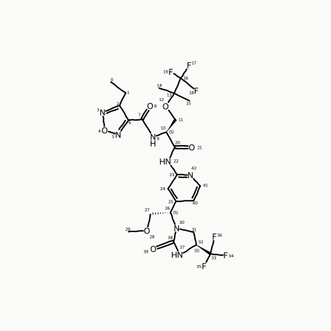 CCc1nonc1C(=O)N[C@@H](COC(C)(C)C(F)(F)F)C(=O)Nc1cc([C@@H](COC)N2C[C@@H](C(F)(F)F)NC2=O)ccn1